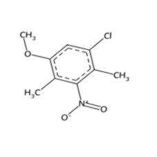 COc1cc(Cl)c(C)c([N+](=O)[O-])c1C